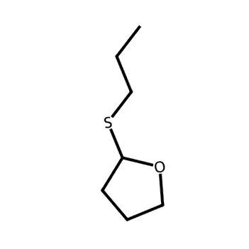 CCCSC1CCCO1